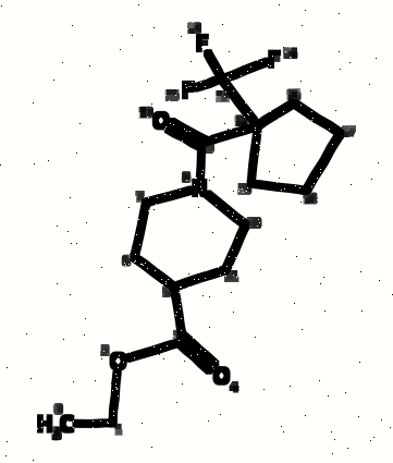 CCOC(=O)C1CCN(C(=O)C2(C(F)(F)F)CCCC2)CC1